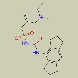 C=C(CN(C)CC)CS(=O)(=O)NC(=O)Nc1c2c(cc3c1CCC3)CCC2